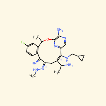 CN/N=C1/C/C(C(C)N)=C(/NCC2CC2)c2cnc(N)c(n2)OC(C)c2cc(F)ccc2C1=N